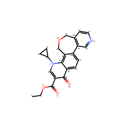 CCOC(=O)c1cn(C2CC2)c2c3c(ccc2c1=O)-c1cnccc1COC3